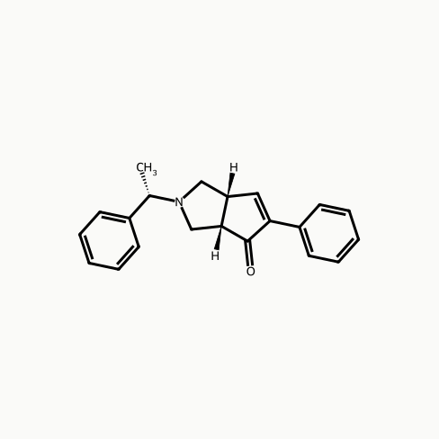 C[C@@H](c1ccccc1)N1C[C@@H]2C=C(c3ccccc3)C(=O)[C@@H]2C1